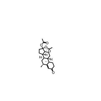 CC(=O)OC1(OC(C)=O)CC[C@H]2[C@@H]3C[C@H](C)C4=CC(=O)CC[C@]4(C)[C@H]3CC[C@@]21C